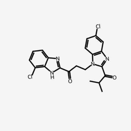 CC(C)C(=O)c1nc2cc(Cl)ccc2n1CCC(=O)c1nc2cccc(Cl)c2[nH]1